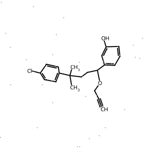 C#CCOC(CCC(C)(C)c1ccc(Cl)cc1)c1cccc(O)c1